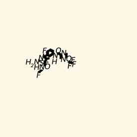 CC1[C@@](C)(C(=O)NCCF)SC(N)=N[C@]1(C)c1cc(NC(=O)c2cnc(OCC(F)(F)F)cn2)ccc1F